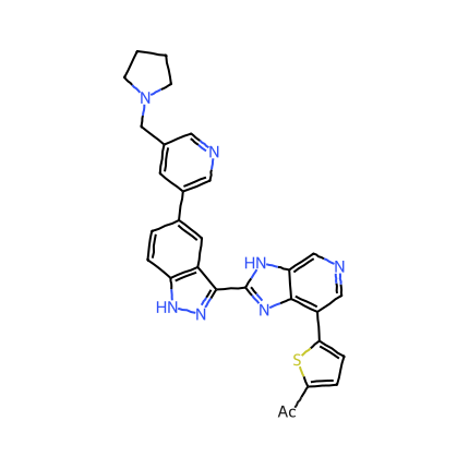 CC(=O)c1ccc(-c2cncc3[nH]c(-c4n[nH]c5ccc(-c6cncc(CN7CCCC7)c6)cc45)nc23)s1